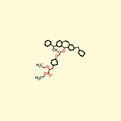 CCOC(=O)C(Cc1ccc(OCCOC2c3ccc(Cc4ccccc4)cc3C=Cc3ccc(C(C)c4ccccc4)cc32)cc1)OCC